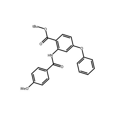 COc1ccc(C(=O)Nc2cc(Oc3ccccc3)ccc2C(=O)OC(C)(C)C)cc1